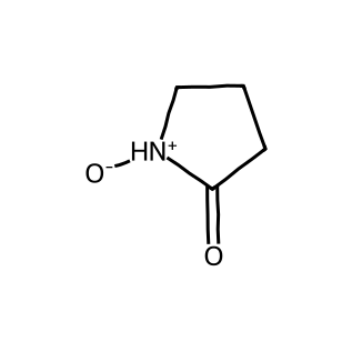 O=C1CCC[NH+]1[O-]